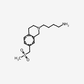 CS(=O)(=O)Cc1ccc2c(c1)CN(CCCCN)CC2